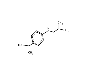 C=C(C)CNc1ccc(C(C)C)cc1